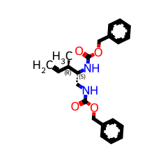 C=C[C@@H](C)[C@@H](CNC(=O)OCc1ccccc1)NC(=O)OCc1ccccc1